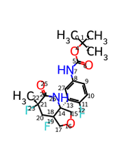 CC(C)(C)OC(=O)Nc1ccc(F)c([C@]23COC[C@@]2(F)C[C@](C)(F)C(=O)N3)c1